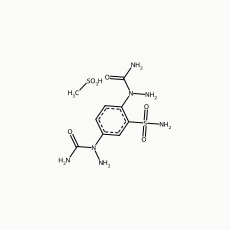 CS(=O)(=O)O.NC(=O)N(N)c1ccc(N(N)C(N)=O)c(S(N)(=O)=O)c1